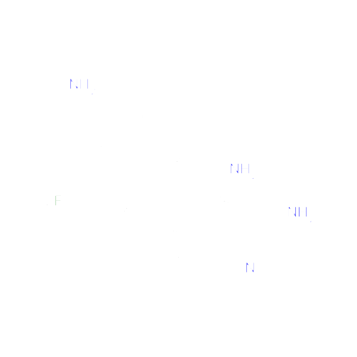 NCc1ccc(-c2ccnc(N)c2N)cc1F